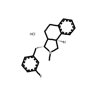 CN1C[C@@H]2c3ccccc3CCC2[C@H]1Cc1cccc(F)c1.Cl